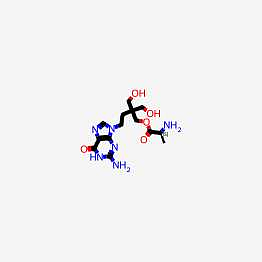 C[C@H](N)C(=O)OCC(CO)(CO)CCn1cnc2c(=O)[nH]c(N)nc21